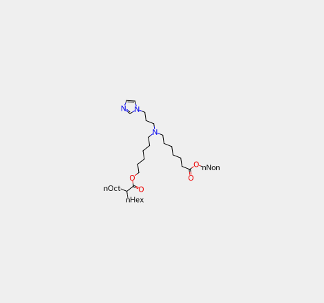 CCCCCCCCCOC(=O)CCCCCCN(CCCCCCOC(=O)C(CCCCCC)CCCCCCCC)CCCn1ccnc1